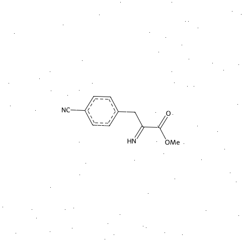 COC(=O)C(=N)Cc1ccc(C#N)cc1